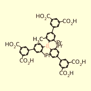 Cc1cc(-c2cc(C(=O)O)cc(C(=O)O)c2)cc(C(C)C)c1B(c1ccc(-c2cc(C(=O)O)cc(C(=O)O)c2)cc1C(C)C)c1ccc(-c2cc(C(=O)O)cc(C(=O)O)c2)cc1C(C)C